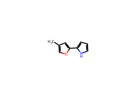 Cc1coc(-c2ccc[nH]2)c1